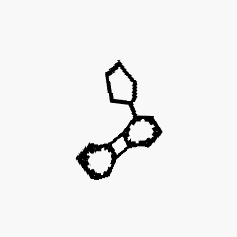 c1ccc2c(c1)-c1cccc(C3CCCC3)c1-2